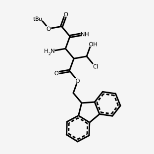 CC(C)(C)OC(=O)C(=N)C(N)C(C(=O)OCC1c2ccccc2-c2ccccc21)C(O)Cl